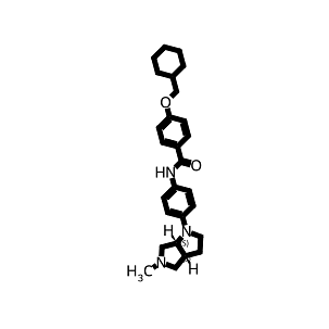 CN1C[C@@H]2CCN(c3ccc(NC(=O)c4ccc(OCC5CCCCC5)cc4)cc3)[C@@H]2C1